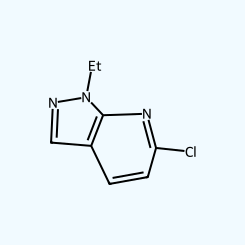 CCn1ncc2ccc(Cl)nc21